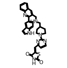 O=C1NC(=O)/C(=C/c2ccnc(N3CCC(CNCc4cc5ccccc5nc4-c4ccc5[nH]ccc5c4)CC3)n2)S1